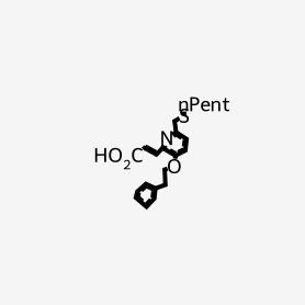 CCCCCSCc1ccc(OCCc2ccccc2)c(C=CC(=O)O)n1